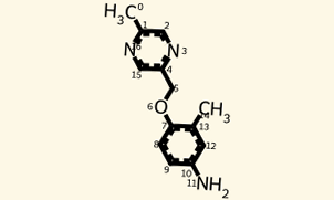 Cc1cnc(COc2ccc(N)cc2C)cn1